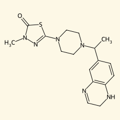 CC(c1ccc2c(c1)N=CCN2)N1CCN(c2nn(C)c(=O)s2)CC1